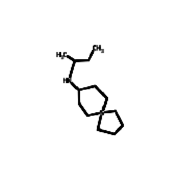 CCC(C)NC1CCS2(CCCC2)CC1